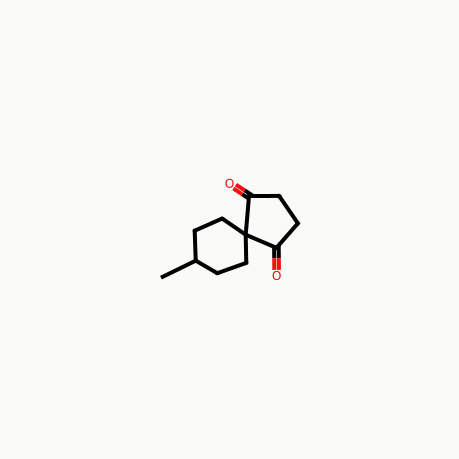 CC1CCC2(CC1)C(=O)CCC2=O